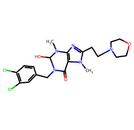 CN1c2nc(CCN3CCOCC3)n(C)c2C(=O)N(Cc2ccc(Cl)c(Cl)c2)C1O